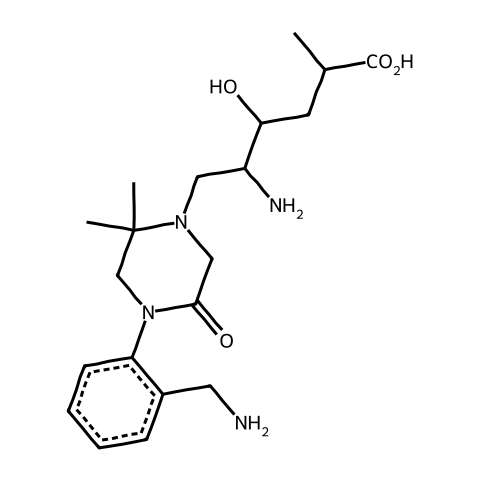 CC(CC(O)C(N)CN1CC(=O)N(c2ccccc2CN)CC1(C)C)C(=O)O